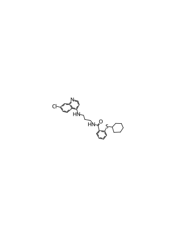 O=C(NCCCNc1ccnc2cc(Cl)ccc12)c1ccccc1SC1CCCCC1